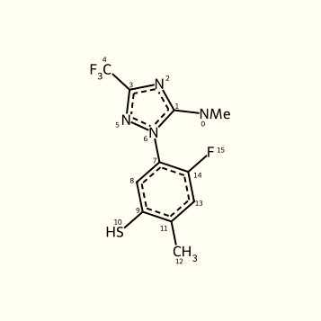 CNc1nc(C(F)(F)F)nn1-c1cc(S)c(C)cc1F